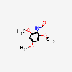 COc1cc(OC)c(N[C]=O)c(OC)c1